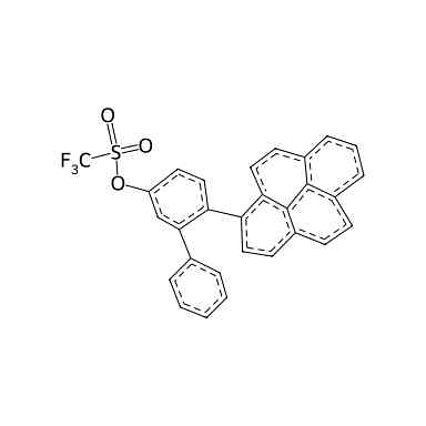 O=S(=O)(Oc1ccc(-c2ccc3ccc4cccc5ccc2c3c45)c(-c2ccccc2)c1)C(F)(F)F